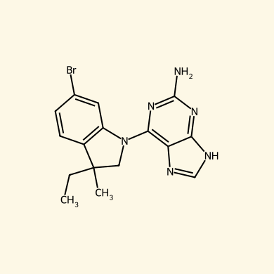 CCC1(C)CN(c2nc(N)nc3[nH]cnc23)c2cc(Br)ccc21